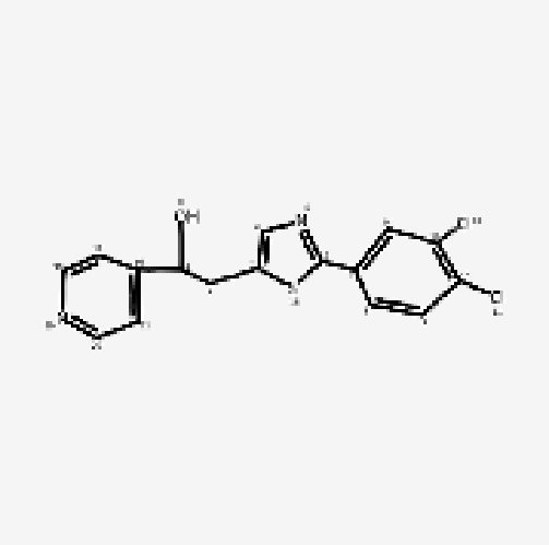 OC(Cc1cnc(-c2ccc(Cl)c(Cl)c2)s1)c1ccncc1